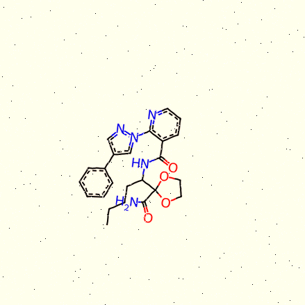 CCCCC(NC(=O)c1cccnc1-n1cc(-c2ccccc2)cn1)C1(C(N)=O)OCCO1